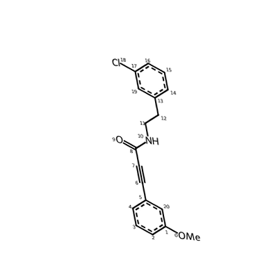 COc1cccc(C#CC(=O)NCCc2cccc(Cl)c2)c1